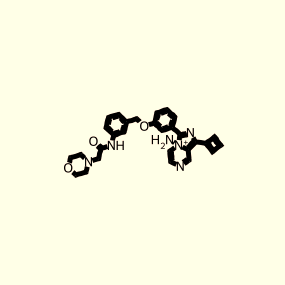 N[N+]12C=CN=CC1=C(C1=CC=C1)N=C2c1cccc(OCc2cccc(NC(=O)CN3CCOCC3)c2)c1